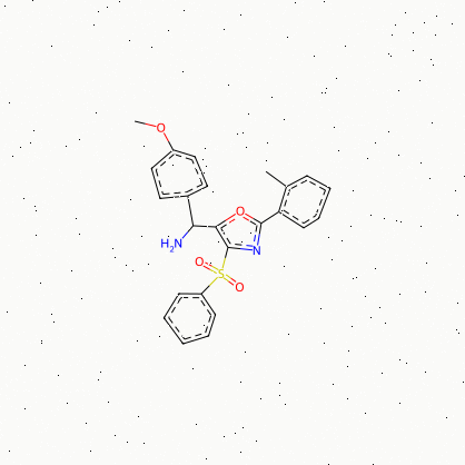 COc1ccc(C(N)c2oc(-c3ccccc3C)nc2S(=O)(=O)c2ccccc2)cc1